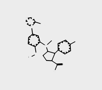 CC(C)Oc1ccc(-n2nnnc2C(F)(F)F)cc1N(C)C1CCC(C(N)=O)C1c1ccc(F)cc1